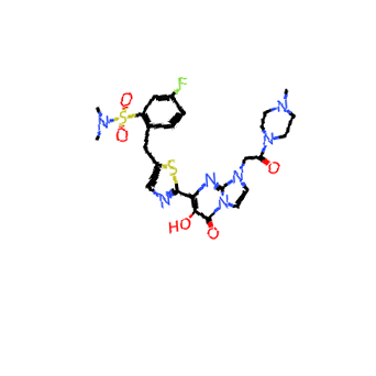 CN1CCN(C(=O)Cn2ccn3c(=O)c(O)c(-c4ncc(Cc5ccc(F)cc5S(=O)(=O)N(C)C)s4)nc23)CC1